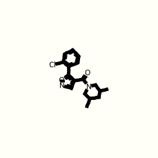 CC1CC(C)CN(C(=O)c2cnoc2-c2ccccc2Cl)C1